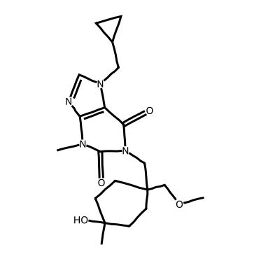 COCC1(Cn2c(=O)c3c(ncn3CC3CC3)n(C)c2=O)CCC(C)(O)CC1